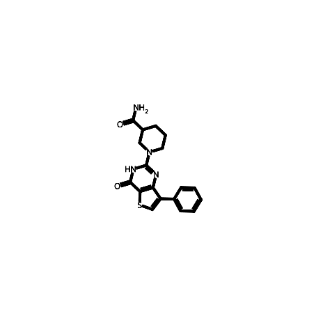 NC(=O)C1CCCN(c2nc3c(-c4ccccc4)csc3c(=O)[nH]2)C1